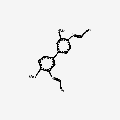 CNc1ccc(-c2ccc(N=CC(C)C)c(NC)c2)cc1N=CC(C)C